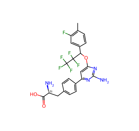 Cc1ccc(C(Oc2cc(-c3ccc(C[C@H](N)C(=O)O)cc3)nc(N)n2)C(F)(F)C(F)(F)F)cc1F